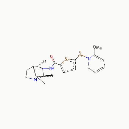 COC1=CC=CCN1Sc1ccc(C(=O)N[C@@H]2C3CCN(CC3)[C@H]2C)s1